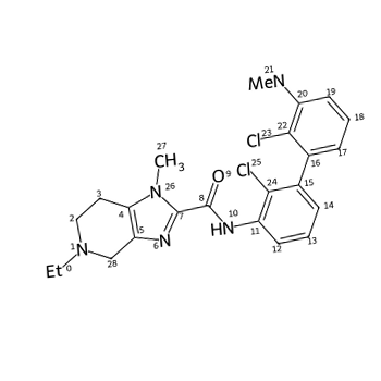 CCN1CCc2c(nc(C(=O)Nc3cccc(-c4cccc(NC)c4Cl)c3Cl)n2C)C1